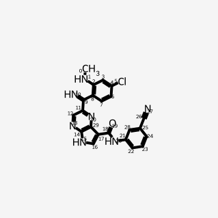 CNc1cc(Cl)ccc1C(=N)c1cnc2[nH]cc(C(=O)Nc3cccc(C#N)c3)c2n1